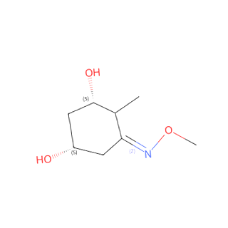 CO/N=C1/C[C@H](O)C[C@H](O)C1C